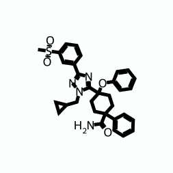 CS(=O)(=O)c1cccc(-c2nc(C3(Oc4ccccc4)CCC(C(N)=O)(c4ccccc4)CC3)n(CC3CC3)n2)c1